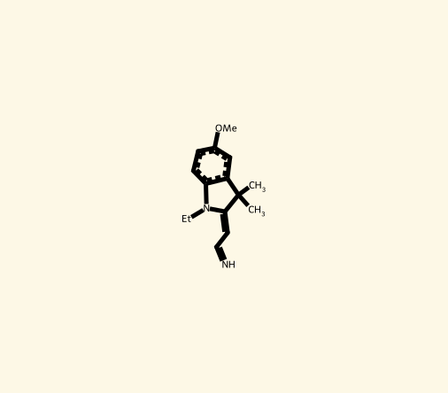 CCN1/C(=C\C=N)C(C)(C)c2cc(OC)ccc21